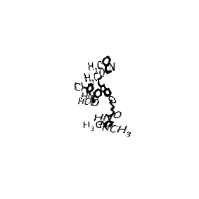 Cc1cc(NC(=O)CCCOc2ccc3c(c2)C2(CCC(Nc4cccc(Cl)c4)(C(=O)O)CC2)C(C[C@@H](C)COc2ccnc4c2[C@H](C)CCC4)C3)n(C)n1